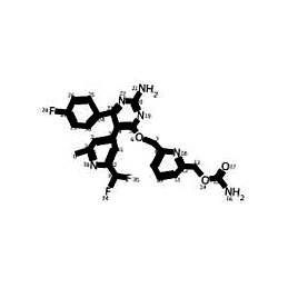 Cc1cc(-c2c(OCc3cccc(COC(N)=O)n3)nc(N)nc2-c2ccc(F)cc2)cc(C(F)F)n1